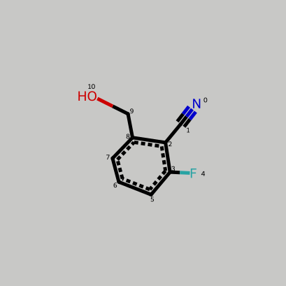 N#Cc1c(F)cccc1CO